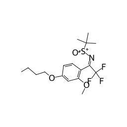 CCCCOc1ccc(/C(=N\[S@@+]([O-])C(C)(C)C)C(F)(F)F)c(OC)c1